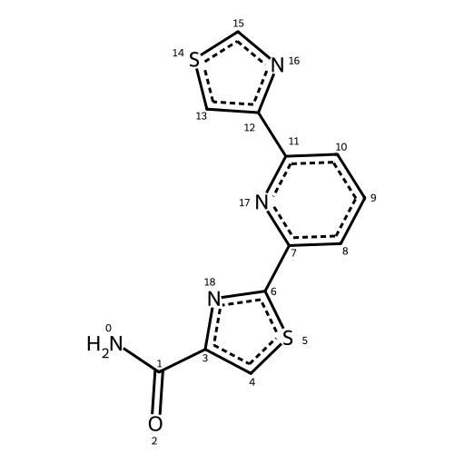 NC(=O)c1csc(-c2cccc(-c3cscn3)n2)n1